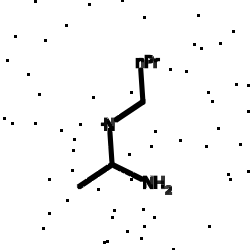 CCCC[N]C(C)N